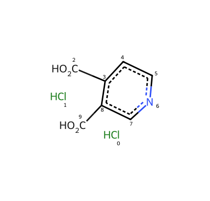 Cl.Cl.O=C(O)c1ccncc1C(=O)O